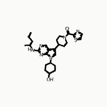 CCCC(C)Nc1ncc2c(C3CCN(C(=O)c4nccs4)CC3)cn(C3CCC(O)CC3)c2n1